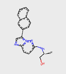 CC(C)[C@@H](CO)Nc1ccc2ncc(-c3ccc4ccccc4c3)n2n1